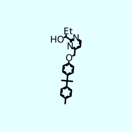 CCC(O)c1nccc(COc2ccc(C(C)(C)c3ccc(C)cc3)cc2)n1